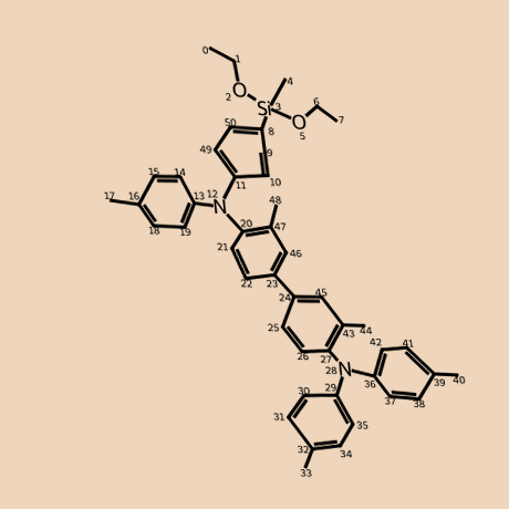 CCO[Si](C)(OCC)c1ccc(N(c2ccc(C)cc2)c2ccc(-c3ccc(N(c4ccc(C)cc4)c4ccc(C)cc4)c(C)c3)cc2C)cc1